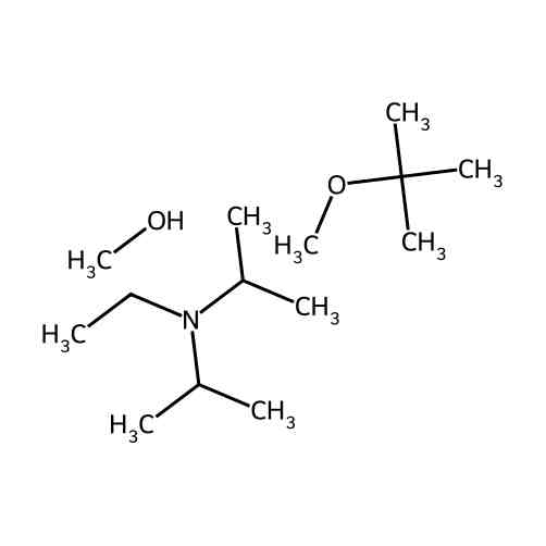 CCN(C(C)C)C(C)C.CO.COC(C)(C)C